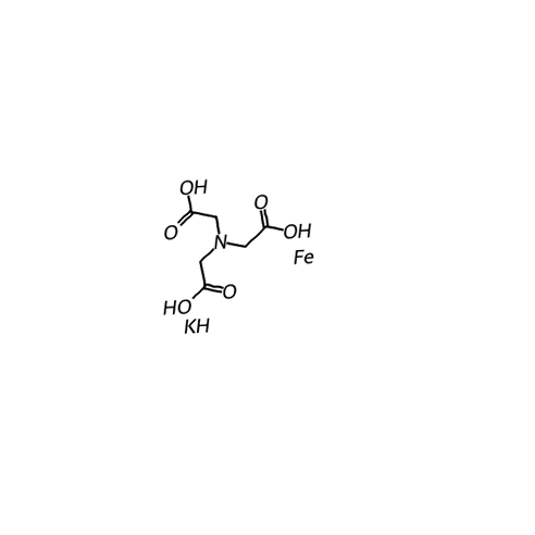 O=C(O)CN(CC(=O)O)CC(=O)O.[Fe].[KH]